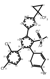 CS(=O)(=O)c1c(-c2nnc(C3(C(F)(F)F)CC3)o2)nn(-c2ccc(Cl)cc2Cl)c1C1C=CC(Br)=CC1